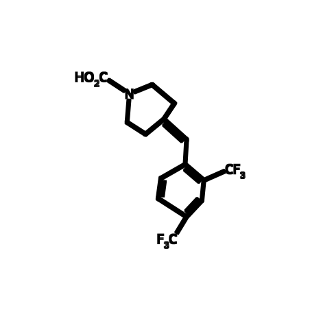 O=C(O)N1CCC(=Cc2ccc(C(F)(F)F)cc2C(F)(F)F)CC1